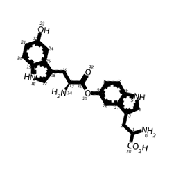 NC(Cc1c[nH]c2ccc(OC(=O)[C@@H](N)Cc3c[nH]c4ccc(O)cc34)cc12)C(=O)O